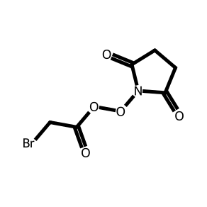 O=C(CBr)OON1C(=O)CCC1=O